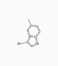 Cc1ccc2ncc(C(C)C)n2c1